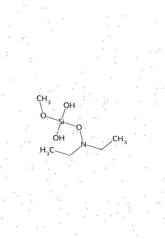 CCN(CC)O[Si](O)(O)OC